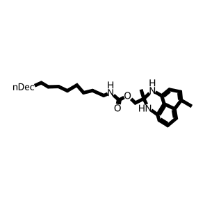 CCCCCCCCCCCCCCCCCCNC(=O)OCC1(C)Nc2cccc3c(C)ccc(c23)N1